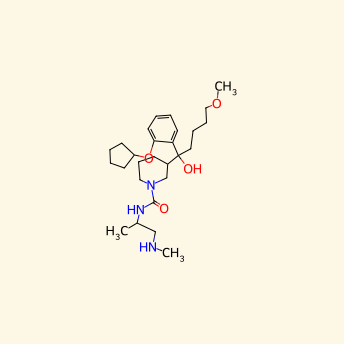 CNCC(C)NC(=O)N1CCCC(C(O)(CCCCOC)c2ccccc2OC2CCCC2)C1